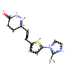 Cc1nccn1-c1ccc(C=CC2=NNC(=O)CC2)s1